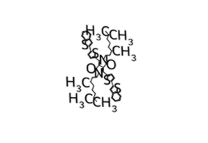 CC(C)CCC[C@H](C)CCN1C(=O)C2=C(c3ccc(-c4cc5ccccc5s4)s3)N(CC[C@@H](C)CCCC(C)C)C(=O)C2=C1c1ccc(-c2cc3ccccc3s2)s1